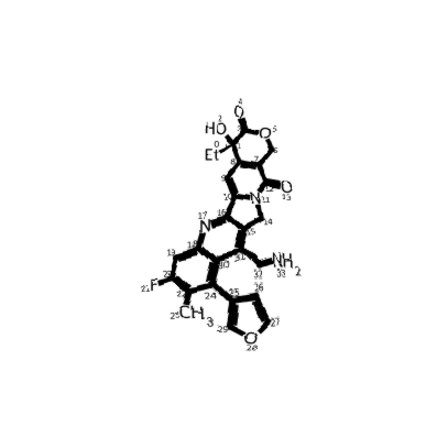 CC[C@@]1(O)C(=O)OCc2c1cc1n(c2=O)Cc2c-1nc1cc(F)c(C)c(-c3ccoc3)c1c2CN